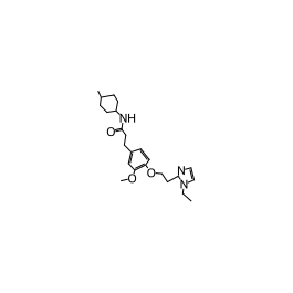 CCn1ccnc1CCOc1ccc(CCC(=O)NC2CCC(C)CC2)cc1OC